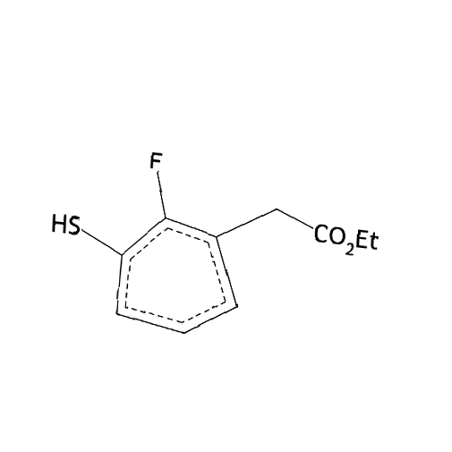 CCOC(=O)Cc1cccc(S)c1F